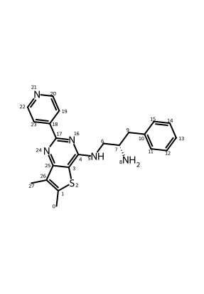 Cc1sc2c(NC[C@@H](N)Cc3ccccc3)nc(-c3ccncc3)nc2c1C